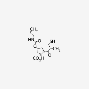 C=CCNC(=O)OC1C[C@@H](C(=O)O)N(C(=O)C(C)CS)C1